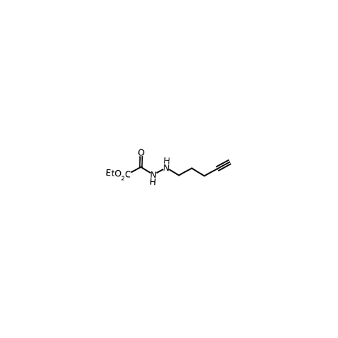 C#CCCCNNC(=O)C(=O)OCC